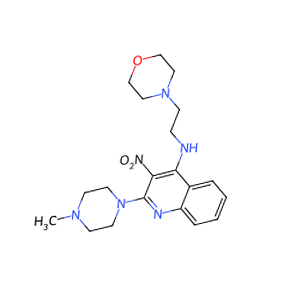 CN1CCN(c2nc3ccccc3c(NCCN3CCOCC3)c2[N+](=O)[O-])CC1